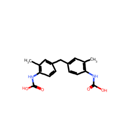 Cc1cc(Cc2ccc(NC(=O)O)c(C)c2)ccc1NC(=O)O